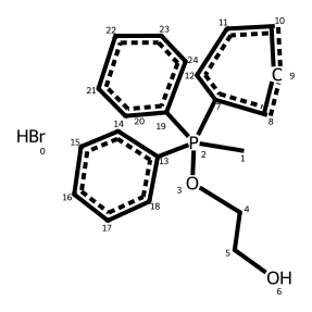 Br.CP(OCCO)(c1ccccc1)(c1ccccc1)c1ccccc1